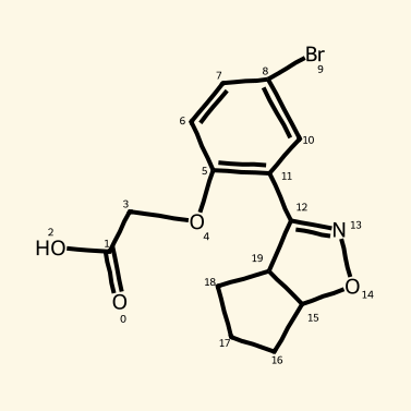 O=C(O)COc1ccc(Br)cc1C1=NOC2CCCC12